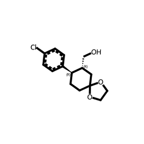 OC[C@@H]1CC2(CC[C@H]1c1ccc(Cl)cc1)OCCO2